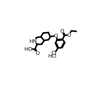 CCOC(=O)c1ccc(Cl)cc1OC1CCC2CNC(C(=O)O)CC2C1.Cl